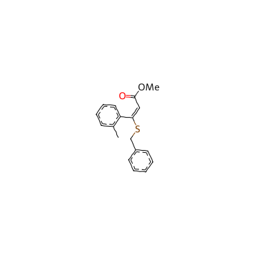 COC(=O)C=C(SCc1ccccc1)c1ccccc1C